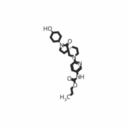 CCCOC(=O)Nc1ccc(N2CCC[C@@]3(CCN([C@H]4CC[C@H](O)CC4)C3=O)C2)nc1